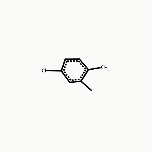 Cc1cc(Cl)[c]cc1C(F)(F)F